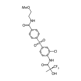 COCCNC(=O)c1ccc(S(=O)(=O)c2ccc(NC(=O)[C@@](C)(O)C(F)(F)F)c(Cl)c2)cc1